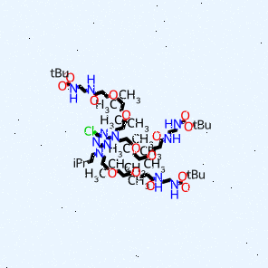 CC(C)CCN(CCC(C)(C)OCCC(C)(C)OCCC(=O)NCCNC(=O)OC(C)(C)C)c1nc(Cl)nc(N(CCC(C)(C)OCCC(C)(C)OCCC(=O)NCCNC(=O)OC(C)(C)C)CCC(C)(C)OCCC(C)(C)OCCC(=O)NCCNC(=O)OC(C)(C)C)n1